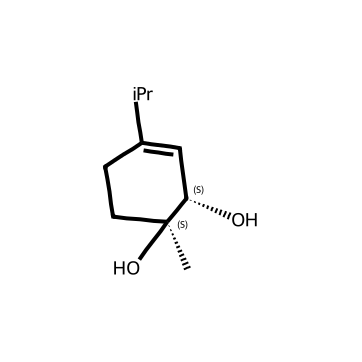 CC(C)C1=C[C@H](O)[C@@](C)(O)CC1